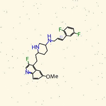 COc1ccc2ncc(F)c(CCC3CCC(NC/C=C/c4cc(F)ccc4F)CN3)c2c1